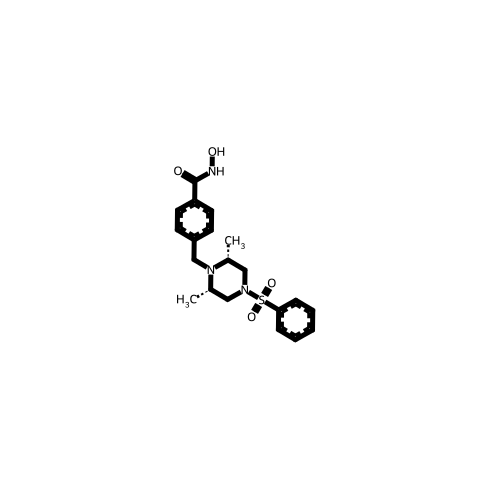 C[C@@H]1CN(S(=O)(=O)c2ccccc2)C[C@H](C)N1Cc1ccc(C(=O)NO)cc1